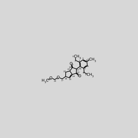 CCc1cc(C)cc(CC)c1C1C(=O)C2=CC(COCOC)CC2C1=O